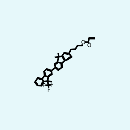 C=CC(=O)OCCCCc1ccc2c(c1)C(C)(C)c1cc(-c3ccc4c(c3)C(C)(C(F)(F)F)c3ccccc3-4)ccc1-2